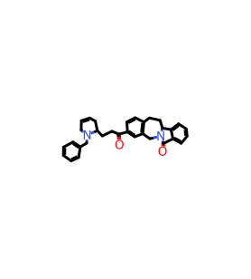 O=C(CCC1CC=CCN1Cc1ccccc1)c1ccc2c(c1)CN1C(=O)c3ccccc3C1CC2